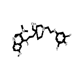 COc1ccc2ncc(N(C)C)c([C@H](F)CCC3(CO)CCN(CCSc4cc(F)c(F)c(F)c4)CC3)c2c1